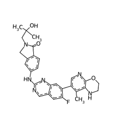 Cc1c(-c2cc3nc(Nc4ccc5c(c4)CN(CC(C)(C)O)C5=O)ncc3cc2F)cnc2c1NCCO2